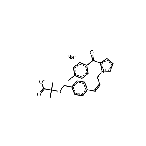 Cc1ccc(C(=O)c2cccn2C/C=C\c2ccc(COC(C)(C)C(=O)[O-])cc2)cc1.[Na+]